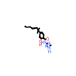 CCCCCC(C)(C)c1ccc(C(=O)Nc2nc[nH]n2)c(O)c1